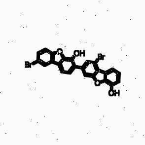 Oc1c(-c2cc(Br)c3c(c2)oc2c(O)cccc23)ccc2c1oc1ccc(Br)cc12